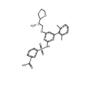 Cc1cccc(C)c1-c1cc(OC[C@H](N)C2CCCO2)nc(NS(=O)(=O)c2cccc(C(=O)O)c2)n1